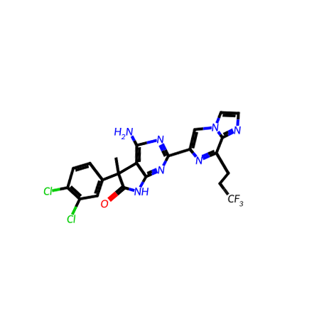 CC1(c2ccc(Cl)c(Cl)c2)C(=O)Nc2nc(-c3cn4ccnc4c(CCC(F)(F)F)n3)nc(N)c21